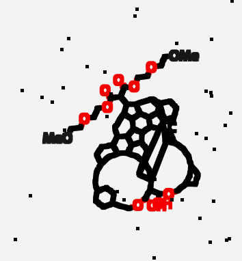 COCCOCCOC(=O)C(C(=O)OCCOCCOC)C1C2CC3C4CCC5CCC6CCC(CC6)COC(O)C6C(O)OCC7CCC(CCC8CCC9C1C1C2C2C3C3C(CC%10CC6%11CC6CCC9(C8)C8C6C6C(C2C3C%10C6%11)C18)C4C5)C7